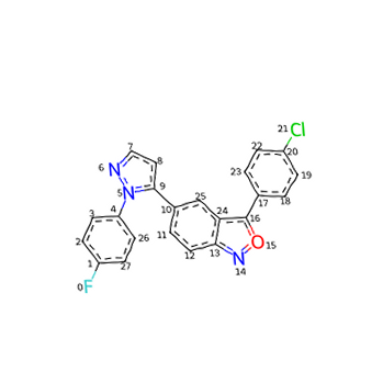 Fc1ccc(-n2nccc2-c2ccc3noc(-c4ccc(Cl)cc4)c3c2)cc1